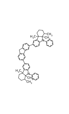 CC1CCCC2(C)c3cc(-c4ccc5c(c4)-c4cc(-c6ccc7c(c6)C6(C)CCCC(C)C6(C)N7c6ccccc6)ccc4C5)ccc3N(c3ccccc3)C12C